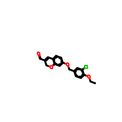 CCOc1ccc(COc2ccc3c(c2)OCC(C=O)=C3)cc1Cl